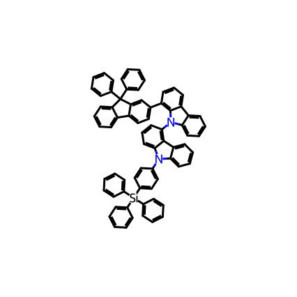 c1ccc(C2(c3ccccc3)c3ccccc3-c3ccc(-c4cccc5c6ccccc6n(-c6cccc7c6c6ccccc6n7-c6ccc([Si](c7ccccc7)(c7ccccc7)c7ccccc7)cc6)c45)cc32)cc1